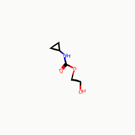 O=C(NC1CC1)OCCO